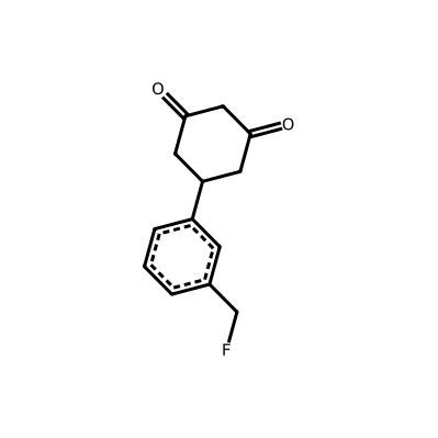 O=C1CC(=O)CC(c2cccc(CF)c2)C1